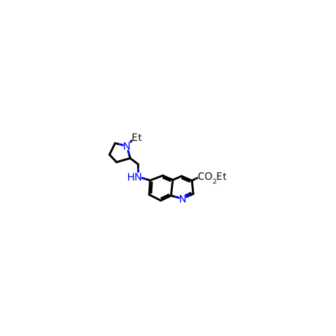 CCOC(=O)c1cnc2ccc(NCC3CCCN3CC)cc2c1